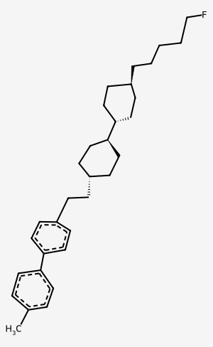 Cc1ccc(-c2ccc(CC[C@H]3CC[C@H]([C@H]4CC[C@H](CCCCCF)CC4)CC3)cc2)cc1